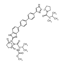 COC(=O)N[C@H](C(=O)N1[C@@H]2CC[C@@H](C2)[C@H]1c1nc2cc(-c3ccc(-c4ccc(-c5c[nH]c([C@@H]6CCCN6C(=O)[C@@H](C)C(C)C)n5)cc4)cc3)ccc2[nH]1)C(C)C